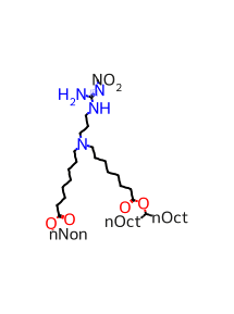 CCCCCCCCCOC(=O)CCCCCCCN(CCCCCCCC(=O)OC(CCCCCCCC)CCCCCCCC)CCCN/C(N)=N/[N+](=O)[O-]